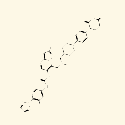 C[C@H](c1c(NC(=O)Nc2cnc(-n3nccn3)c(Cl)c2)cnc2cc(Cl)nn12)N(C)CC1CCN(c2ccc([C@@H]3CCC(=O)NC3=O)cc2)CC1